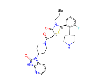 CC(C)(C)CCN1C(=O)[C@H](CC(=O)N2CCC(n3c(=O)[nH]c4ncccc43)CC2)S[C@@H]1c1cccc(F)c1C1CCNCC1